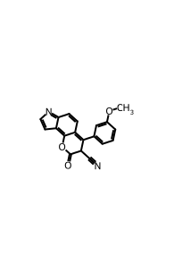 COc1cccc(C2=c3ccc4c(c3OC(=O)C2C#N)C=CN=4)c1